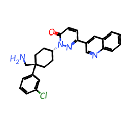 NC[C@]1(c2cccc(Cl)c2)CC[C@@H](n2nc(-c3cnc4ccccc4c3)ccc2=O)CC1